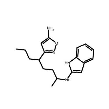 CCCC(CCC(C)Nc1cc2ccccc2[nH]1)c1cc(N)on1